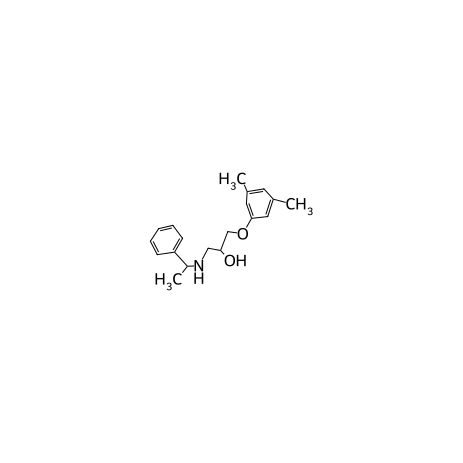 Cc1cc(C)cc(OCC(O)CNC(C)c2ccccc2)c1